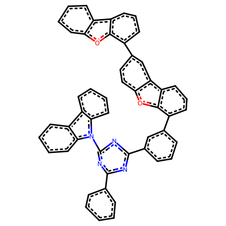 c1ccc(-c2nc(-c3cccc(-c4cccc5c4oc4ccc(-c6cccc7c6oc6ccccc67)cc45)c3)nc(-n3c4ccccc4c4ccccc43)n2)cc1